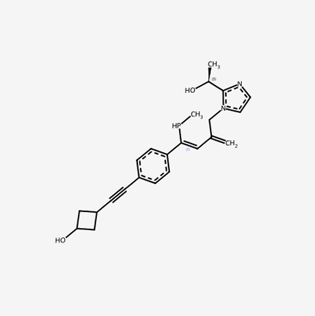 C=C(/C=C(\PC)c1ccc(C#CC2CC(O)C2)cc1)Cn1ccnc1[C@H](C)O